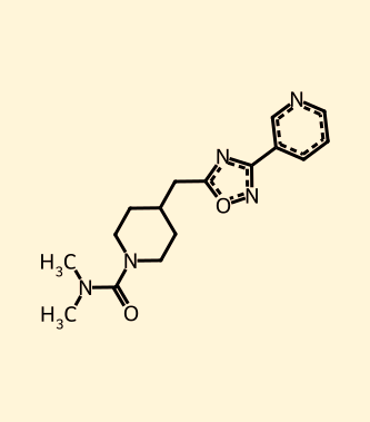 CN(C)C(=O)N1CCC(Cc2nc(-c3cccnc3)no2)CC1